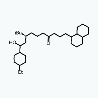 CCC1CCC(C(O)C[C@H](CCCC(=O)CCCC2CCCC3CCCCC32)C(C)CC)CC1